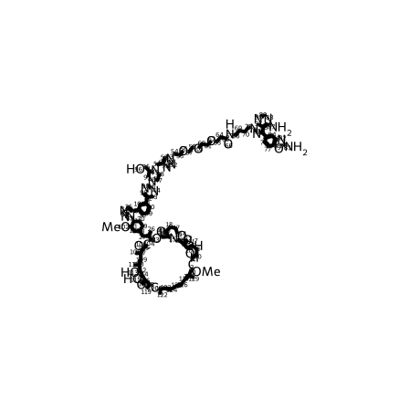 COC1C[C@@H]2CC[C@@H](C)[C@@](O)(O2)C(=O)C(=O)N2CCCC[C@H]2C(=O)OC(C(C)CC2CC[C@H](n3nncc3-c3cccc(-c4cnc(N5CCN(Cc6cn(CCOCCOCCOCCC(=O)NCCCCn7nc(-c8ccc9oc(N)nc9c8)c8c(N)ncnc87)nn6)C(CO)C5)nc4)c3)[C@H](OC)C2)CC(=O)C(C)/C=C(\C)C(O)[C@@H](O)C(=O)C(C)CC(C)/C=C/C=C/C=C/1C